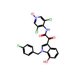 O=C(Nc1c(Cl)c[n+]([O-])cc1Cl)C(=O)c1cn(Cc2ccc(F)cc2)c2c(O)cccc12